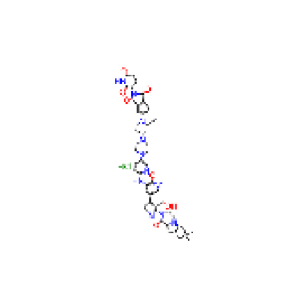 C[C@H]1C[C@H](N2CCN(c3ccc(Nc4cc(-c5ccnc(N6CCn7c(cc8c7CC(C)(C)C8)C6=O)c5CO)cn(C)c4=O)nc3)[C@@H](C)C2)CCN1c1ccc2c(c1)C(=O)N(C1CCC(=O)NC1=O)C2=O.Cl